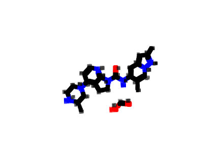 Cc1cc2cc(NC(=O)N3CCc4c(N5CCN[C@H](C)C5)ccnc43)c(C)cn2n1.O=CO